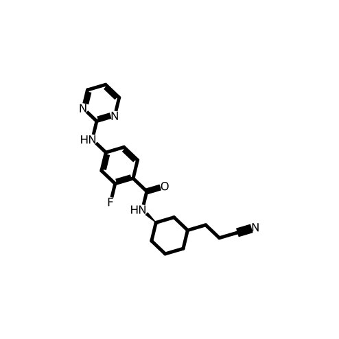 N#CCCC1CCC[C@@H](NC(=O)c2ccc(Nc3ncccn3)cc2F)C1